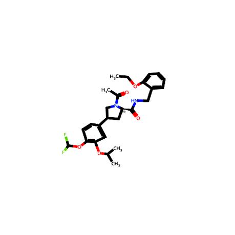 CCOc1ccccc1CNC(=O)[C@H]1CC(c2ccc(OC(F)F)c(OC(C)C)c2)CN1C(C)=O